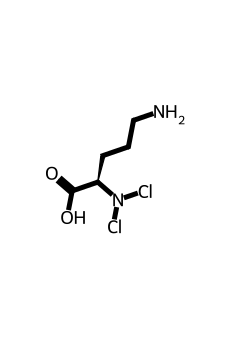 NCCC[C@H](C(=O)O)N(Cl)Cl